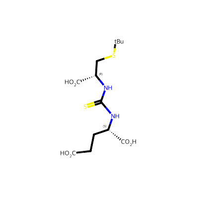 CC(C)(C)SC[C@H](NC(=S)N[C@@H](CCC(=O)O)C(=O)O)C(=O)O